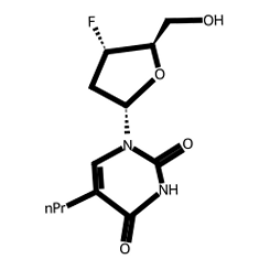 CCCc1cn([C@@H]2C[C@H](F)[C@@H](CO)O2)c(=O)[nH]c1=O